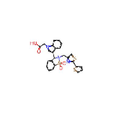 O=C(O)Cn1cc(C2c3ccccc3S(=O)(=O)N2Cc2csc(-c3cccs3)n2)c2ccccc21